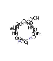 C/C=C(\C)[C@H]1OC(=O)C(C)(C)NC(=O)C(C(C)CC)NC(=O)CN(C)C(=O)[C@@H](Cc2ccc(C#N)cc2)N(C)C(=O)[C@H](C)NC(=O)[C@@H](CC(C)C)OC(=O)/C(C)=C/C[C@H](OI)[C@@H]1C